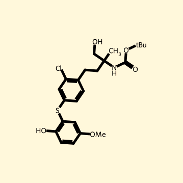 COc1ccc(O)c(Sc2ccc(CCC(C)(CO)NC(=O)OC(C)(C)C)c(Cl)c2)c1